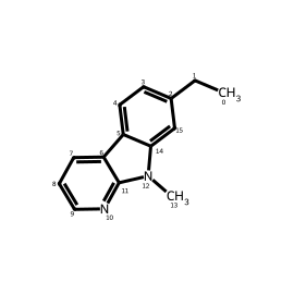 CCc1ccc2c3cccnc3n(C)c2c1